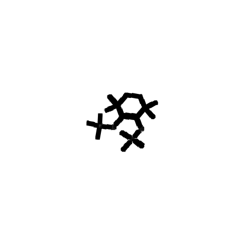 CC1(C)CCC(C)(C)C(O[Si](C)(C)C)=C1O[Si](C)(C)C